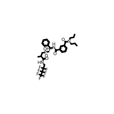 CCCN(CCC)C(=O)c1cccc(C(=O)N[C@H](CP(=O)(O)CC(C)C(=O)NCC(F)(F)C(F)(F)C(F)(F)F)c2ccccc2)c1